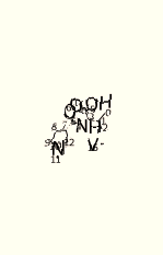 CC(C)[C@H](NC(=O)[C@H]1CCN(C)C1)C(=O)O.[V]